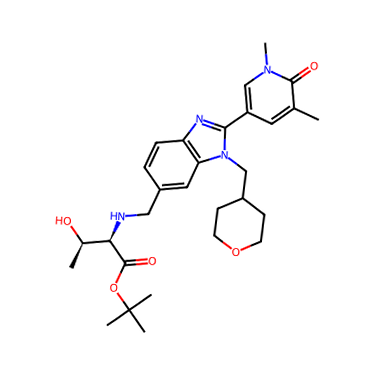 Cc1cc(-c2nc3ccc(CN[C@@H](C(=O)OC(C)(C)C)[C@@H](C)O)cc3n2CC2CCOCC2)cn(C)c1=O